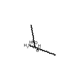 CCCCCCCCCCCCCCNC(=O)CCN(CCCN)CCC(=O)NCCCCCCCCCCCCCC